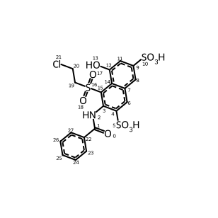 O=C(Nc1c(S(=O)(=O)O)cc2cc(S(=O)(=O)O)cc(O)c2c1S(=O)(=O)CCCl)c1ccccc1